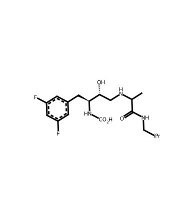 CC(C)CNC(=O)C(C)NC[C@@H](O)[C@H](Cc1cc(F)cc(F)c1)NC(=O)O